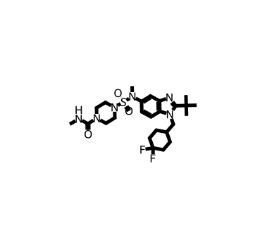 CNC(=O)N1CCN(S(=O)(=O)N(C)c2ccc3c(c2)nc(C(C)(C)C)n3CC2CCC(F)(F)CC2)CC1